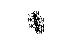 N#CC(C#N)=C1C(c2ccc(C#N)c(C#N)c2)=C(C#N)c2cc3c(cc21)C(C(C#N)C#N)C(c1ccc(C#N)c(C#N)c1)=C3C#N